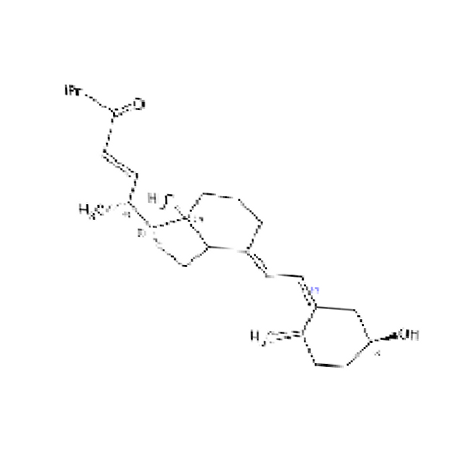 C=C1CC[C@H](O)C/C1=C/C=C1CCC[C@@]2(C)C1CC[C@@H]2[C@H](C)C=CC(=O)C(C)C